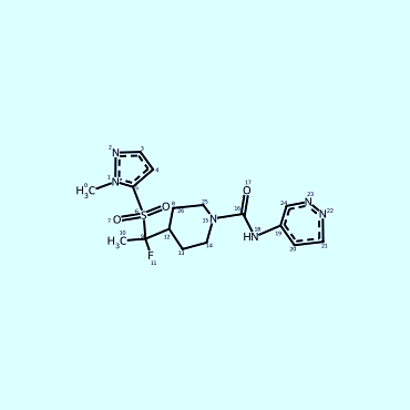 Cn1nccc1S(=O)(=O)C(C)(F)C1CCN(C(=O)Nc2ccnnc2)CC1